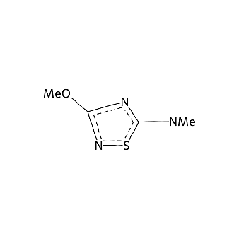 CNc1nc(OC)ns1